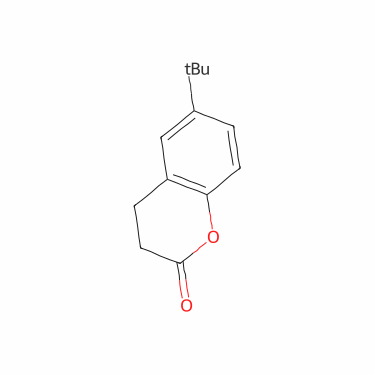 CC(C)(C)c1ccc2c(c1)CCC(=O)O2